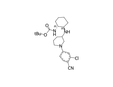 CC(C)(C)OC(=O)N[C@@H]1CCCC[C@H]1NC1CCCN(c2ccc(C#N)c(Cl)c2)C1